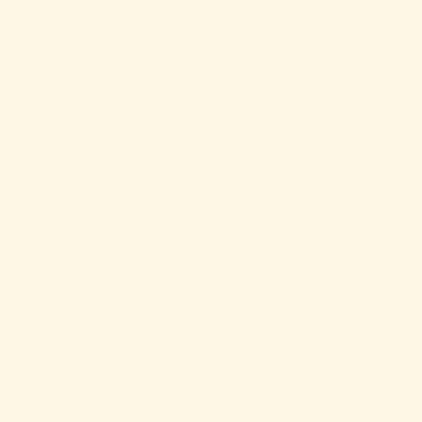 CC1=[C]C=C(C)C[CH]1